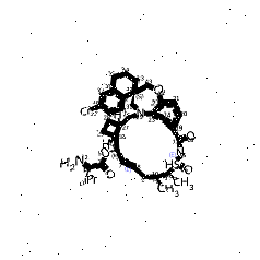 CC(C)[C@H](N)C(=O)O[C@H]1/C=C/C[C@H](C)[C@@H](C)/[SH](=O)=N\C(=O)c2ccc3c(c2)N(C[C@@H]2CC[C@H]21)C[C@@]1(CCCc2cc(Cl)ccc21)CO3